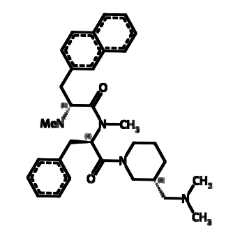 CN[C@H](Cc1ccc2ccccc2c1)C(=O)N(C)[C@H](Cc1ccccc1)C(=O)N1CCC[C@H](CN(C)C)C1